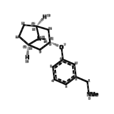 CNCc1cccc(O[C@@H]2C[C@H]3CC[C@@H](C2)N3C)c1